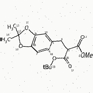 COC(=O)C(Cc1ccc2c(c1)OC(C)(C)O2)C(=O)OC(C)(C)C